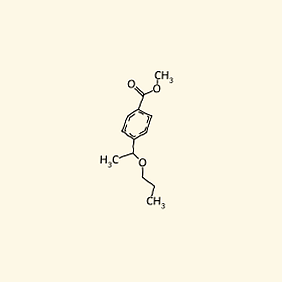 CCCOC(C)c1ccc(C(=O)OC)cc1